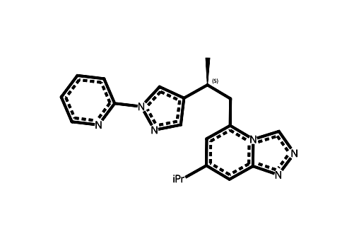 CC(C)c1cc(C[C@H](C)c2cnn(-c3ccccn3)c2)n2cnnc2c1